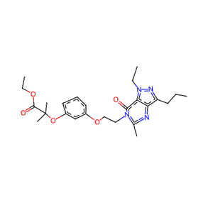 CCCc1nn(CC)c2c(=O)n(CCOc3cccc(OC(C)(C)C(=O)OCC)c3)c(C)nc12